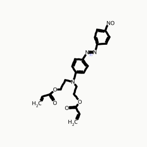 C=CC(=O)OCCN(CCOC(=O)C=C)c1ccc(/N=N/c2ccc(N=O)cc2)cc1